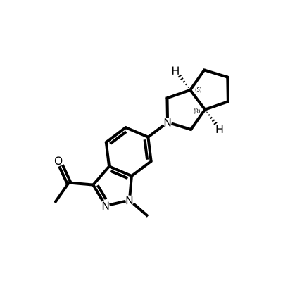 CC(=O)c1nn(C)c2cc(N3C[C@H]4CCC[C@H]4C3)ccc12